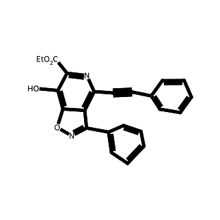 CCOC(=O)c1nc(C#Cc2ccccc2)c2c(-c3ccccc3)noc2c1O